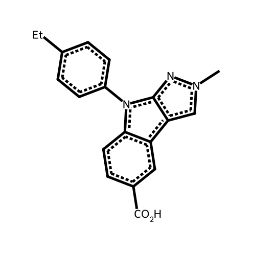 CCc1ccc(-n2c3ccc(C(=O)O)cc3c3cn(C)nc32)cc1